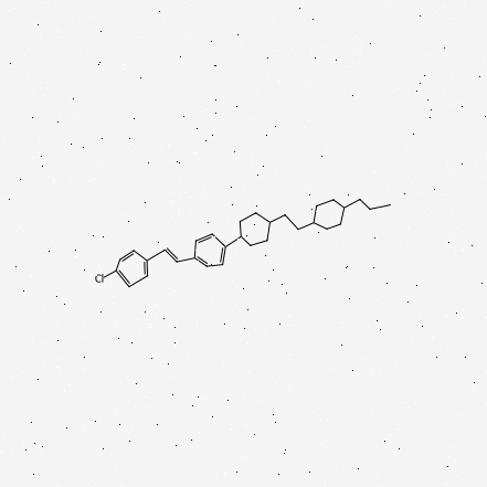 CCCC1CCC(CCC2CCC(c3ccc(C=Cc4ccc(Cl)cc4)cc3)CC2)CC1